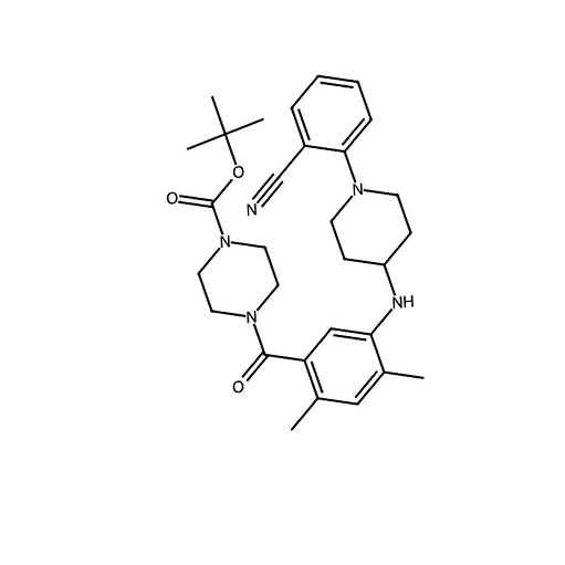 Cc1cc(C)c(C(=O)N2CCN(C(=O)OC(C)(C)C)CC2)cc1NC1CCN(c2ccccc2C#N)CC1